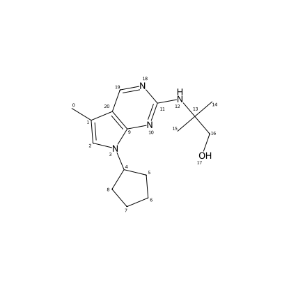 Cc1cn(C2CCCC2)c2nc(NC(C)(C)CO)ncc12